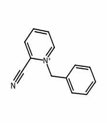 N#Cc1cccc[n+]1Cc1ccccc1